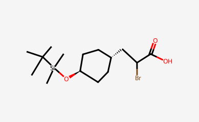 CC(C)(C)[Si](C)(C)O[C@H]1CC[C@H](CC(Br)C(=O)O)CC1